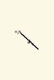 CCCCCCCCCCCC(=O)CCCCCCCCCCCCN